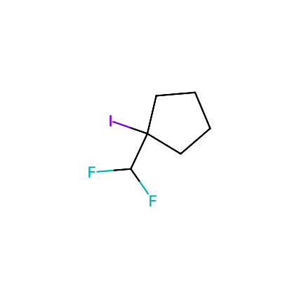 FC(F)C1(I)CCCC1